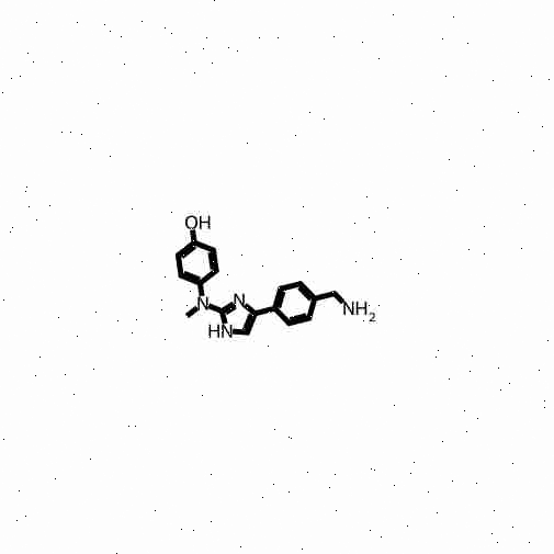 CN(c1ccc(O)cc1)c1nc(-c2ccc(CN)cc2)c[nH]1